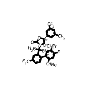 BC(B)(c1cc(C(F)(F)F)ccc1-c1cc(C(C)C)c(F)cc1OC)N1C(=O)O[C@H](c2cc(C(F)(F)F)cc(C(F)(F)F)c2)[C@@H]1C